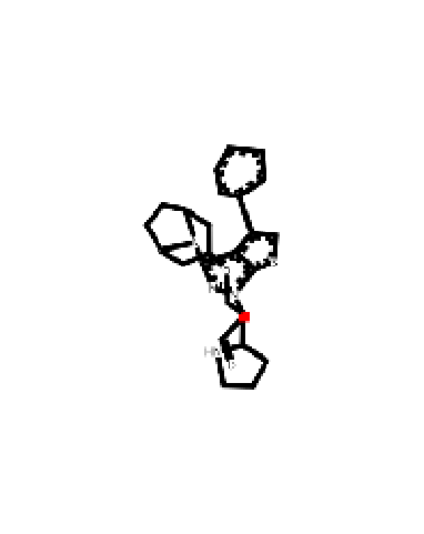 O=CCn1nc(N2C3CCC2CC(OCCC2CCCN2)C3)c2c(-c3ccccc3)csc21